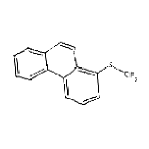 FC(F)(F)Sc1cccc2c1ccc1ccccc12